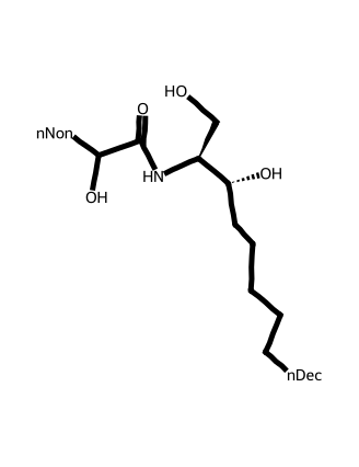 CCCCCCCCCCCCCCC[C@@H](O)[C@H](CO)NC(=O)C(O)CCCCCCCCC